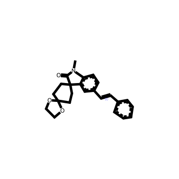 CN1C(=O)C2(CCC3(CC2)OCCO3)c2cc(/C=C/c3ccccc3)ccc21